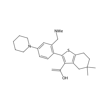 C=C(O)c1c(-c2ccc(N3CCCCC3)cc2CNC)sc2c1CC(C)(C)CC2